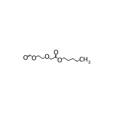 CCCCCOC(=O)COCCOC=O